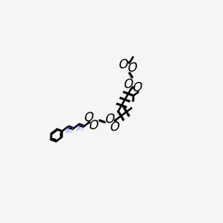 CC(=O)OCCOC(=O)C(C)(C(C)C)C(C)(C)C(C)(C)CC(C)(C(=O)OCCOC(=O)/C=C/C=C/c1ccccc1)C(C)(C)C